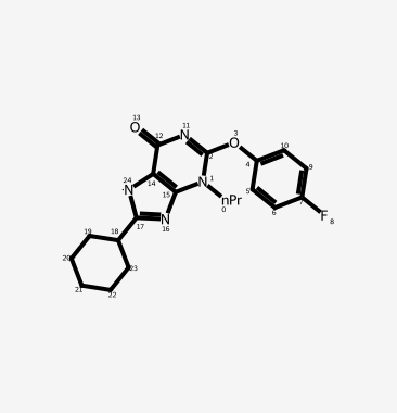 CCCn1c(Oc2ccc(F)cc2)nc(=O)c2c1N=C(C1CCCCC1)[N]2